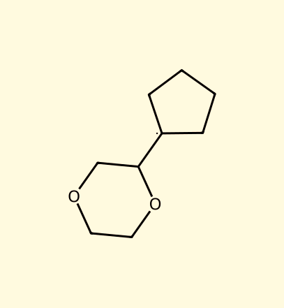 C1CC[C](C2COCCO2)C1